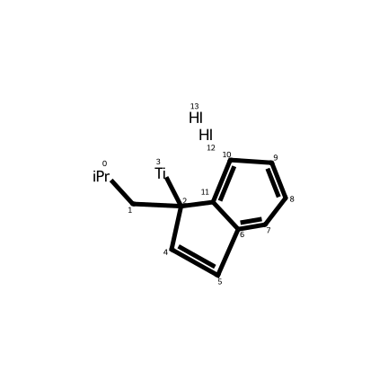 CC(C)C[C]1([Ti])C=Cc2ccccc21.I.I